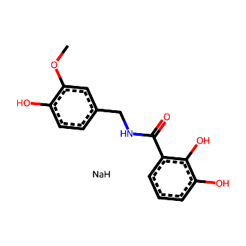 COc1cc(CNC(=O)c2cccc(O)c2O)ccc1O.[NaH]